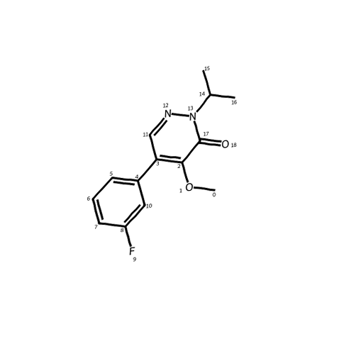 COc1c(-c2cccc(F)c2)cnn(C(C)C)c1=O